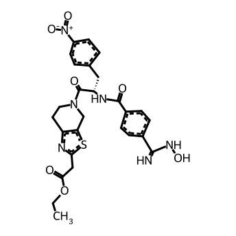 CCOC(=O)Cc1nc2c(s1)CN(C(=O)[C@H](Cc1ccc([N+](=O)[O-])cc1)NC(=O)c1ccc(C(=N)NO)cc1)CC2